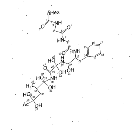 CCCCCCC(=O)NCC(=O)NCC(=O)NC(Cc1ccccc1)C(O)NC(O)(O)C(=O)NC(O)(O)C(C)CC(O)(O)C(C)=O